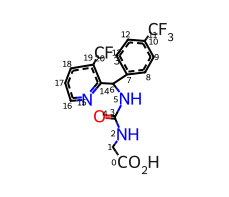 O=C(O)CNC(=O)NC(c1ccc(C(F)(F)F)cc1)c1ncccc1C(F)(F)F